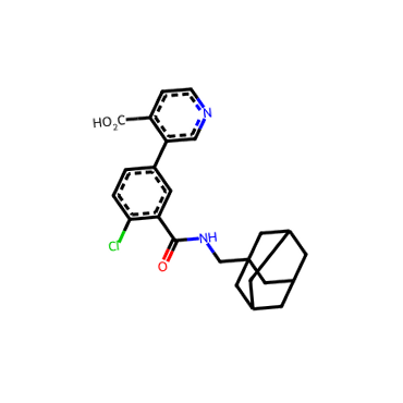 O=C(NCC12CC3CC(CC(C3)C1)C2)c1cc(-c2cnccc2C(=O)O)ccc1Cl